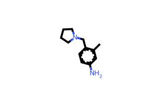 Cc1cc(N)ccc1CN1CCCC1